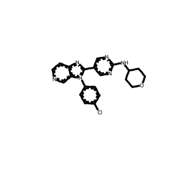 Clc1ccc(-n2c(-c3cnc(NC4CCOCC4)nc3)nc3ccncc32)cc1